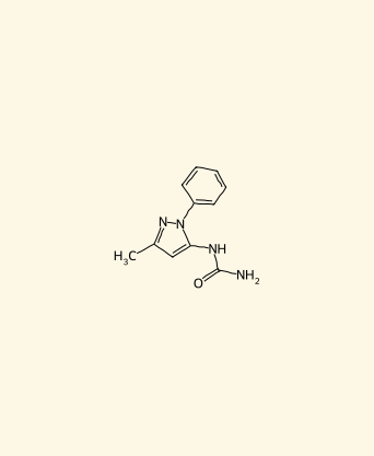 Cc1cc(NC(N)=O)n(-c2ccccc2)n1